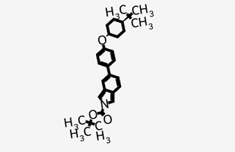 CC(C)(C)OC(=O)n1cc2ccc(-c3ccc(O[C@H]4CC[C@H](C(C)(C)C)CC4)cc3)cc2c1